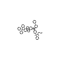 C=C/C=C\C(=C)C(C)(c1ccccc1)c1ccc(N(c2cccc(-c3ccccc3)c2)c2ccc3c(c2)Oc2ccc4c(c2O3)-c2ccccc2C4(c2ccccc2)c2ccccc2)cc1